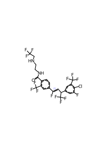 O=C(NCCNCC(F)(F)F)c1ccc(/C(F)=C/C(c2cc(F)c(Cl)c(C(F)(F)F)c2)C(F)(F)F)cc1C(F)(F)F